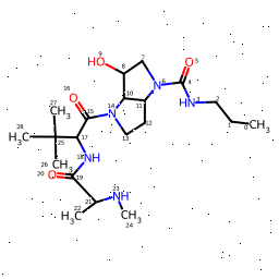 CCCNC(=O)N1CC(O)C2C1CCN2C(=O)C(NC(=O)C(C)NC)C(C)(C)C